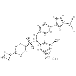 Cl.Cl.Cl.O=S(=O)(C1CCN(C2CNC2)CC1)N(Cc1ccc(-c2nnc(C(F)F)o2)cn1)c1cccc(Cl)c1